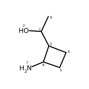 CC(O)C1CCC1N